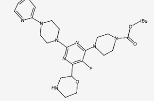 CC(C)(C)OC(=O)N1CCN(c2nc(N3CCN(c4ccccn4)CC3)nc(C3CNCCO3)c2F)CC1